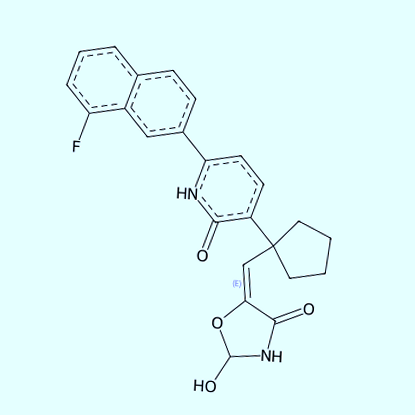 O=C1NC(O)O/C1=C/C1(c2ccc(-c3ccc4cccc(F)c4c3)[nH]c2=O)CCCC1